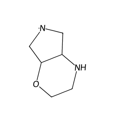 C1COC2C[N]CC2N1